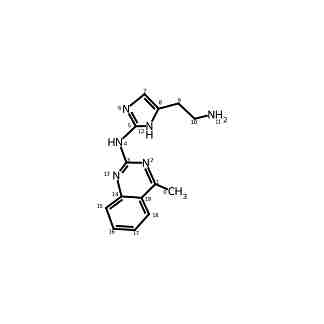 Cc1nc(Nc2ncc(CCN)[nH]2)nc2ccccc12